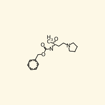 CS(=O)(CCN1CCCC1)=NC(=O)OCc1ccccc1